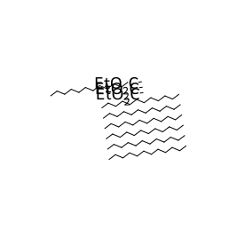 CCCCCCCCCCCC.CCCCCCCCCCCC.CCCCCCCCCCCC.CCCCCCCCCCCC.CCCCCCCCCCCC.CCCCCCCCCCCC.CCCCCCCCCCCC.CCOC(C)=O.CCOC(C)=O.CCOC(C)=O